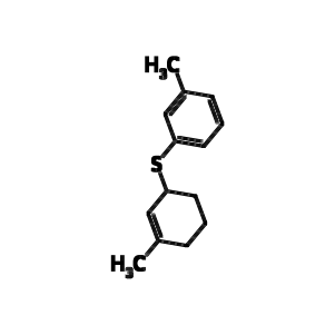 CC1=CC(Sc2cccc(C)c2)CCC1